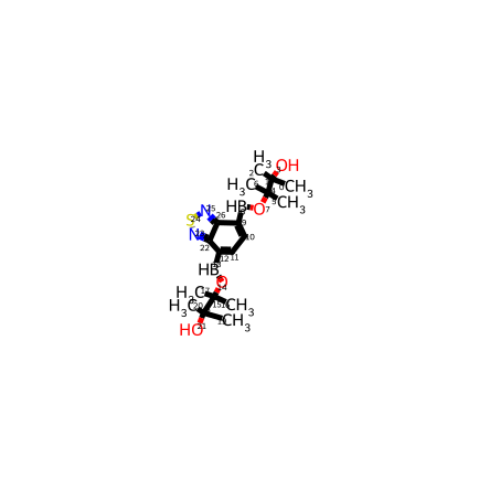 CC(C)(O)C(C)(C)OBc1ccc(BOC(C)(C)C(C)(C)O)c2nsnc12